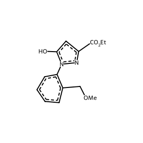 CCOC(=O)c1cc(O)n(-c2ccccc2COC)n1